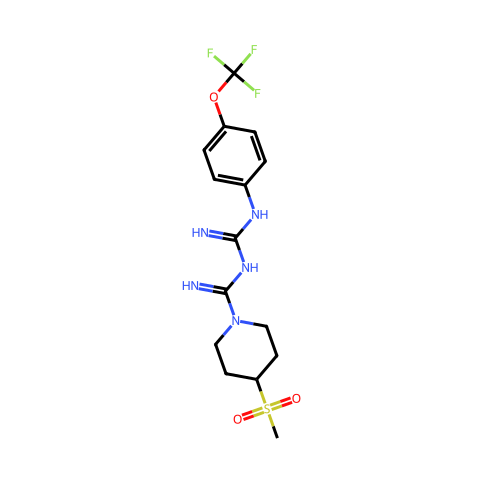 CS(=O)(=O)C1CCN(C(=N)NC(=N)Nc2ccc(OC(F)(F)F)cc2)CC1